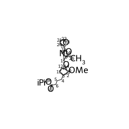 COc1cc(CCCC(=O)OC(C)C)ccc1OCc1nc(-c2ccco2)oc1C